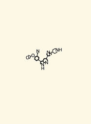 N#Cc1cc(-c2c[nH]c3ncc(-c4cnn(C5CCNCC5)c4)cc23)ccc1OC1COC1